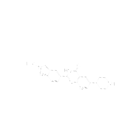 Cn1cc2cc(-c3nc4ncc(C5CCNCC5)cc4c(=O)[nH]3)ccc2n1